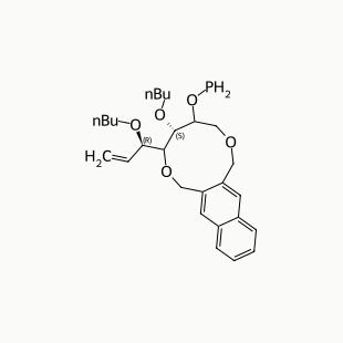 C=C[C@@H](OCCCC)C1OCc2cc3ccccc3cc2COCC(OP)[C@H]1OCCCC